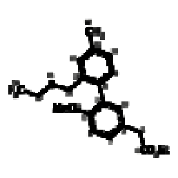 CCOC(=O)Cc1ccc(OC)c(-c2ccc(C)cc2CSCC(F)(F)F)c1